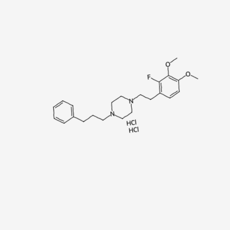 COc1ccc(CCN2CCN(CCCc3ccccc3)CC2)c(F)c1OC.Cl.Cl